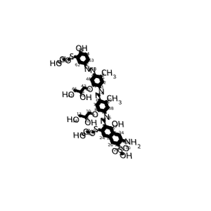 Cc1cc(N=Nc2cc(OCC(O)CO)c(N=Nc3c(SOOO)cc4cc(S(=O)(=O)O)c(N)cc4c3O)cc2C)c(OCC(O)CO)cc1N=Nc1ccc(O)c(SOOO)c1